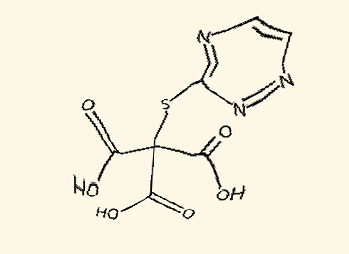 O=C(O)C(Sc1nccnn1)(C(=O)O)C(=O)O